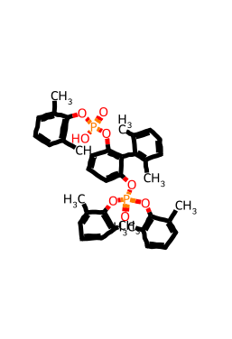 Cc1cccc(C)c1OP(=O)(O)Oc1cccc(OP(=O)(Oc2c(C)cccc2C)Oc2c(C)cccc2C)c1-c1c(C)cccc1C